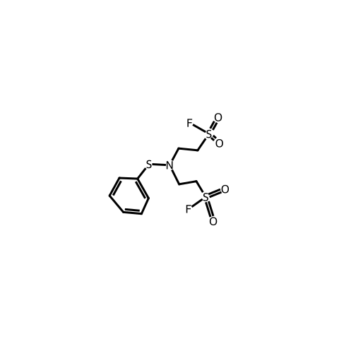 O=S(=O)(F)CCN(CCS(=O)(=O)F)Sc1ccccc1